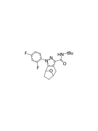 CC(C)(C)NC(=O)c1nn(-c2ccc(F)cc2F)c2c1CC1CCC2O1